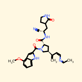 C=C(/C=C\N=C/C)[C@@H]1C[C@@H](C(=O)N[C@H](C#N)CC2CCNC2=O)N(C(=O)c2cc3c(OC)cccc3[nH]2)C1